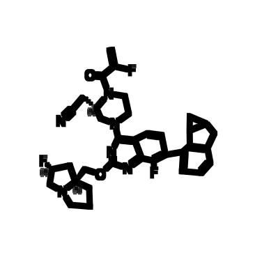 C=C(F)C(=O)N1CCN(c2nc(OC[C@@]34CCCN3C[C@H](F)C4)nc3c(F)c(-c4cccc5c4C4CC4C5)ccc23)C[C@@H]1CC#N